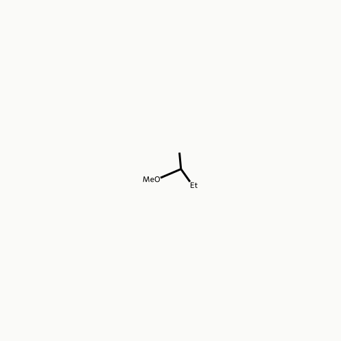 [CH2-][OH+]C(C)CC